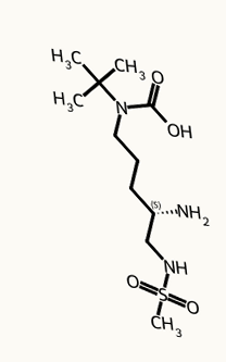 CC(C)(C)N(CCC[C@H](N)CNS(C)(=O)=O)C(=O)O